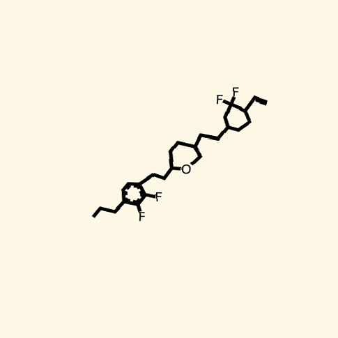 C=CC1CCC(CCC2CCC(CCc3ccc(CCC)c(F)c3F)OC2)CC1(F)F